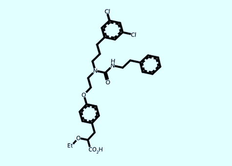 CCOC(Cc1ccc(OCCN(CCCc2cc(Cl)cc(Cl)c2)C(=O)NCCc2ccccc2)cc1)C(=O)O